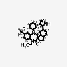 CCN1C(=O)C2(CCc3ccc(-c4ccn[nH]4)cc32)C(=O)N(c2ccccc2)c2cc(C(F)(F)F)ccc21